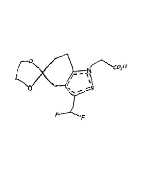 O=C(O)Cn1nc(C(F)F)c2c1CCC1(C2)OCCO1